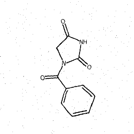 O=C1CN(C(=O)c2ccccc2)C(=O)N1